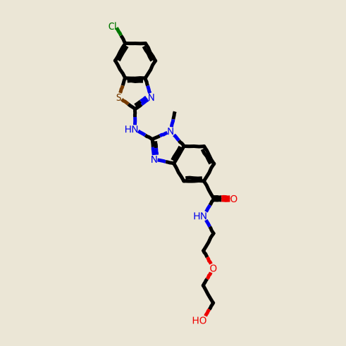 Cn1c(Nc2nc3ccc(Cl)cc3s2)nc2cc(C(=O)NCCOCCO)ccc21